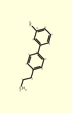 CCCc1ccc(-c2[c]ccc(F)c2)cc1